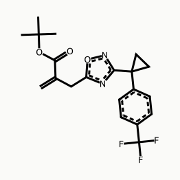 C=C(Cc1nc(C2(c3ccc(C(F)(F)F)cc3)CC2)no1)C(=O)OC(C)(C)C